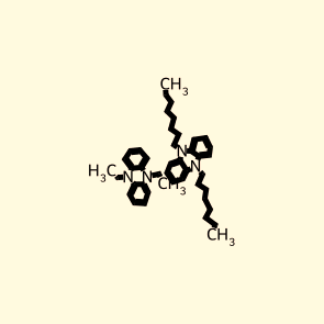 CCCCCCCCN1c2ccccc2N(CCCCCCCC)c2ccccc21.CCN1c2ccccc2N(CC)c2ccccc21